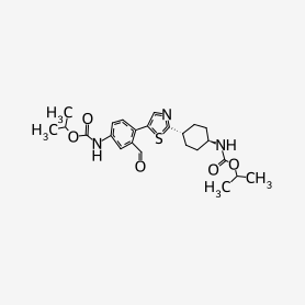 CC(C)OC(=O)Nc1ccc(-c2cnc([C@H]3CC[C@H](NC(=O)OC(C)C)CC3)s2)c(C=O)c1